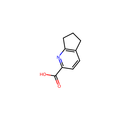 O=C(O)c1ccc2c(n1)CCC2